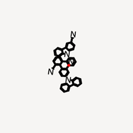 N#Cc1ccc2c(c1)c1ccccc1n2-c1ccccc1-c1cccc(C#N)c1-c1ccc(-n2c3ccccc3c3ccccc32)cc1C#N